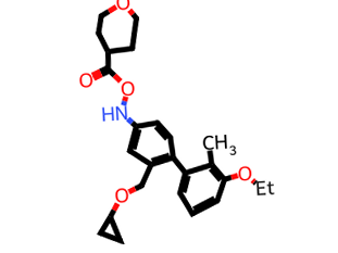 CCOc1cccc(-c2ccc(NOC(=O)C3CCOCC3)cc2COC2CC2)c1C